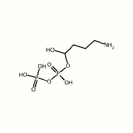 NCCCC(O)OP(=O)(O)OP(=O)(O)O